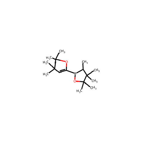 CC1B(C2=CC(C)(C)C(C)(C)O2)OC(C)(C)C1(C)C